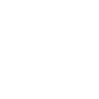 C=COC(=O)C(=C)c1cccc2ccccc12